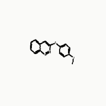 COc1ccc(Sc2cc3ccccc3nn2)cc1